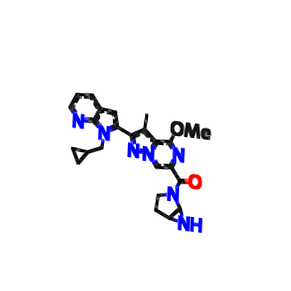 COc1nc(C(=O)N2CCC3NC32)cn2nc(-c3cc4cccnc4n3CC3CC3)c(C)c12